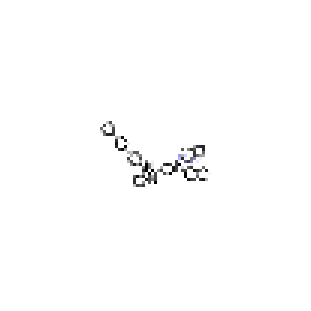 C=c1cccc/c1=c1/c(=C\C)n(-c2ccc(-c3nc(-c4ccc(-c5ccc(-c6ccccc6)cc5)cc4)c4ccccc4n3)cc2)c2ccc3ccccc3c12